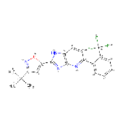 CC(C)(C)c1cc(-c2nc3nc(-c4ccccc4C(F)(F)F)ccc3[nH]2)on1